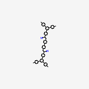 Cc1ccc(-c2cc(-c3ccc(C)cc3)cc(-c3ccc(/C(C#N)=C/c4ccc(-c5ccc(/C=C(\C#N)c6ccc(-c7cc(-c8ccc(C)cc8)cc(-c8ccc(C)cc8)c7)cc6)cc5)cc4)cc3)c2)cc1